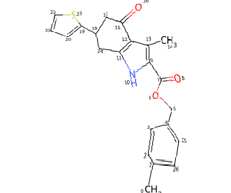 Cc1ccc(COC(=O)c2[nH]c3c(c2C)C(=O)CC(c2cccs2)C3)cc1